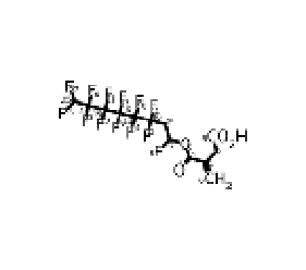 C=C(CC(=O)O)C(=O)OC(F)CC(F)(F)C(F)(F)C(F)(F)C(F)(F)C(F)(F)C(F)F